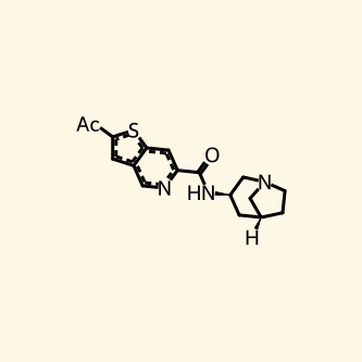 CC(=O)c1cc2cnc(C(=O)N[C@@H]3C[C@H]4CCN(C4)C3)cc2s1